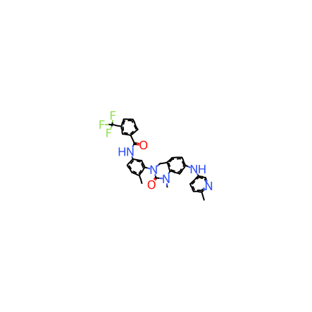 Cc1ccc(Nc2ccc3c(c2)N(C)C(=O)N(c2cc(NC(=O)c4cccc(C(F)(F)F)c4)ccc2C)C3)cn1